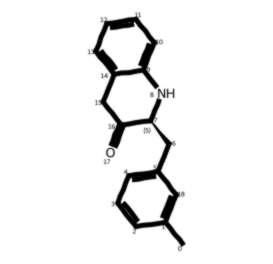 Cc1cccc(C[C@@H]2Nc3ccccc3CC2=O)c1